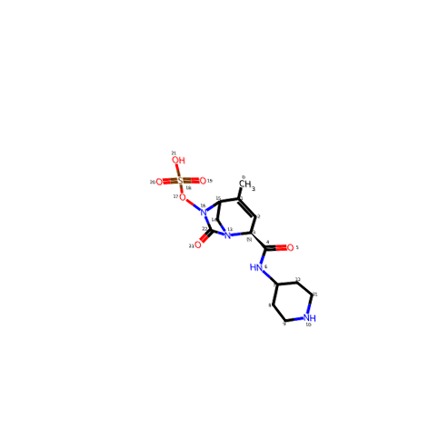 CC1=C[C@@H](C(=O)NC2CCNCC2)N2CC1N(OS(=O)(=O)O)C2=O